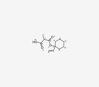 C=CC1(OC(=O)C(C)C(=O)O)CCCCC1